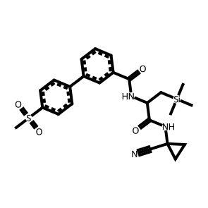 C[Si](C)(C)CC(NC(=O)c1cccc(-c2ccc(S(C)(=O)=O)cc2)c1)C(=O)NC1(C#N)CC1